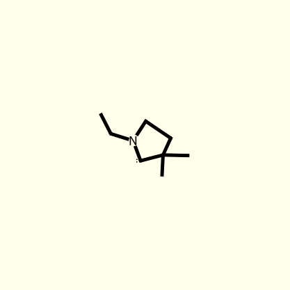 CCN1[C]C(C)(C)CC1